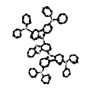 c1ccc(N(c2ccccc2)c2ccc3c(c2)c2cc(N(c4ccccc4)c4ccccc4)ccc2n3-c2ccc(-n3c4ccc(N(c5ccccc5)c5ccccc5)cc4c4cc(N(c5ccccc5)c5ccccc5)ccc43)c3nc4ccccc4nc23)cc1